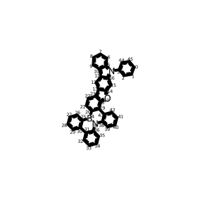 c1ccc(-n2c3ccccc3c3cc4c(cc32)oc2c3c(ccc24)B2c4ccccc4-c4ccccc4N2c2ccccc2-3)cc1